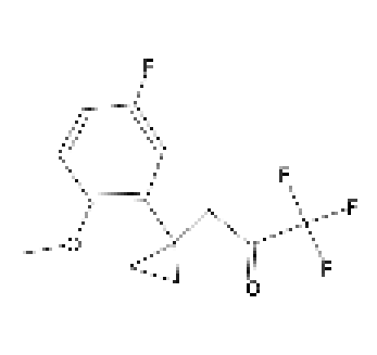 COc1ccc(F)cc1C1(CC(=O)C(F)(F)F)CC1